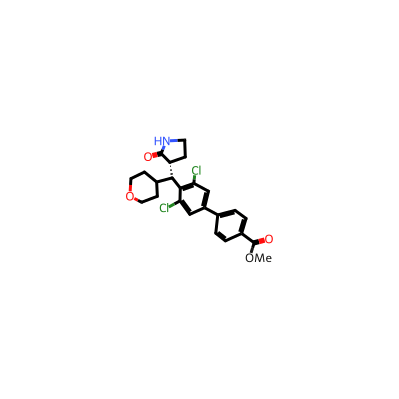 COC(=O)c1ccc(-c2cc(Cl)c(C(C3CCOCC3)[C@H]3CCNC3=O)c(Cl)c2)cc1